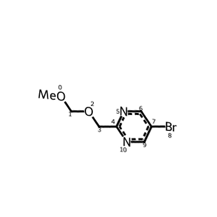 COCOCc1ncc(Br)cn1